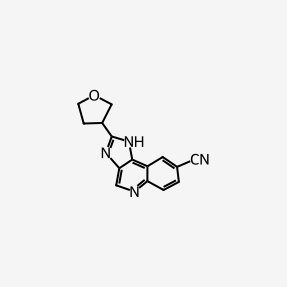 N#Cc1ccc2ncc3nc(C4CCOC4)[nH]c3c2c1